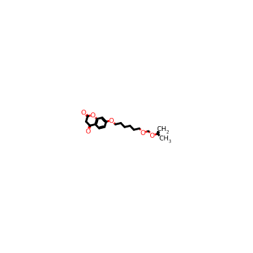 C=C(C)OCOCCCCCCOc1ccc2c(c1)OC(=O)CC2=O